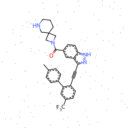 Cc1ccc(-c2cc(C(F)(F)F)ccc2C#Cc2n[nH]c3ccc(C(=O)N4CC5(CCCNC5)C4)cc23)cc1